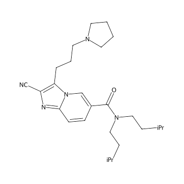 CC(C)CCN(CCC(C)C)C(=O)c1ccc2nc(C#N)c(CCCN3CCCC3)n2c1